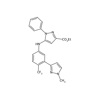 CCOC(=O)c1cc(Nc2ccc(C(F)(F)F)c(-c3ccn(C)n3)c2)n(-c2ccccc2)n1